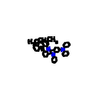 Cc1cc2c3c(c1)C(C)(C)c1ccccc1B3c1cccc3c1n-2c1c2ccc(N(c4ccccc4)c4ccccc4)cc2n(-c2ccccc2)c31